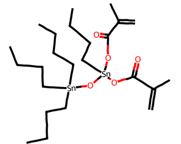 C=C(C)C(=O)[O][Sn]([CH2]CCC)([O]C(=O)C(=C)C)[O][Sn]([CH2]CCC)([CH2]CCC)[CH2]CCC